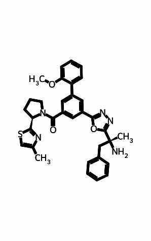 COc1ccccc1-c1cc(C(=O)N2CCC[C@@H]2c2nc(C)cs2)cc(-c2nnc([C@](C)(N)Cc3ccccc3)o2)c1